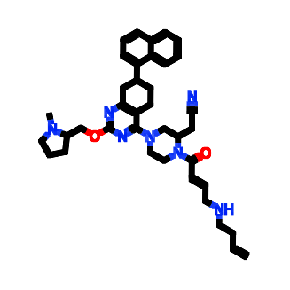 C=CCCNC/C=C/C(=O)N1CCN(c2nc(OCC3CCCN3C)nc3c2CCC(c2cccc4ccccc24)C3)CC1CC#N